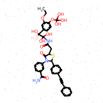 BC(O)(c1ccc(OC(O)(O)O)c(OCC)c1)C(O)(O)NC(=O)CC1SC(c2ccc(C#Cc3ccccc3)cc2)N(c2cccc(C(N)=O)c2)C1=O